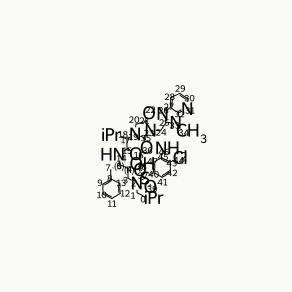 CC(C)CN(C[C@@H](O)[C@H](Cc1ccccc1)NC(=O)C(C(C)C)N1CC(=O)N(Cc2nc3cccnc3n2C)C1=O)S(=O)(=O)c1ccc(Cl)c(N)c1